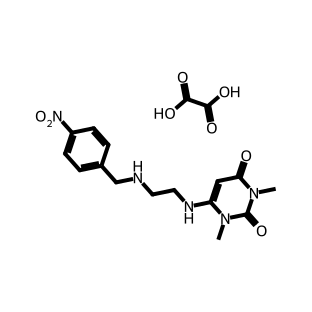 Cn1c(NCCNCc2ccc([N+](=O)[O-])cc2)cc(=O)n(C)c1=O.O=C(O)C(=O)O